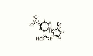 O=C(O)c1cc([N+](=O)[O-])ccc1[SH]1C=CC=C1Br